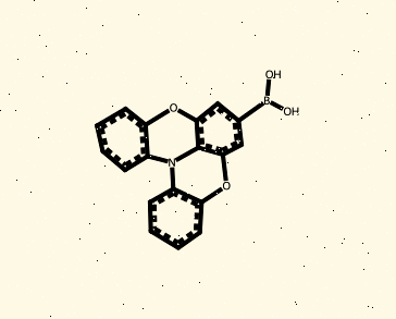 OB(O)c1cc2c3c(c1)Oc1ccccc1N3c1ccccc1O2